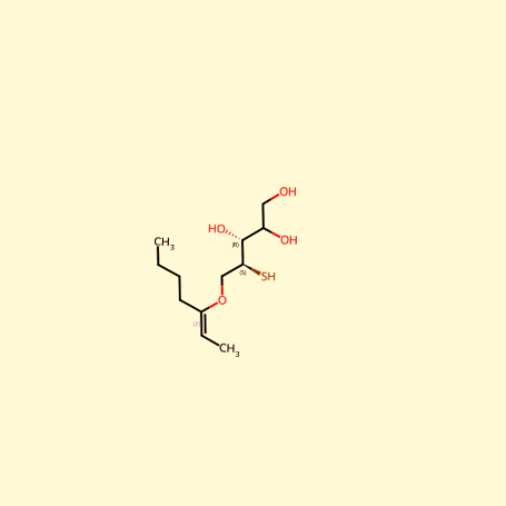 C/C=C(/CCCC)OC[C@H](S)[C@H](O)C(O)CO